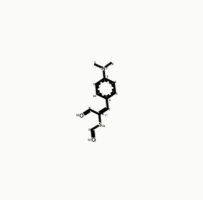 CN(C)c1ccc(/C=C(\C=O)SC=O)cc1